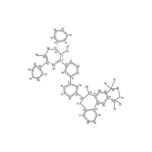 CCC1C(c2cccc(-c3cccc(C4Cc5ccccc5-c5cc6c(cc5C4C)C(C)(C)CCC6(C)C)c3)c2)=NC(c2ccccc2)=C(C)C[C@@H]1c1ccccc1